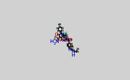 C[C@]1(C(N)=O)COc2c1cc(C(O)(CNC(=O)c1ccc3nc(NC4CC4)sc3c1)C(F)(F)F)nc2-c1ccc(F)cc1